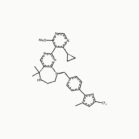 COc1ncnc(C2CC2)c1-c1ncc2c(n1)N(Cc1ccc(-c3nc(C(F)(F)F)cn3C)cc1)CCNC2(C)C